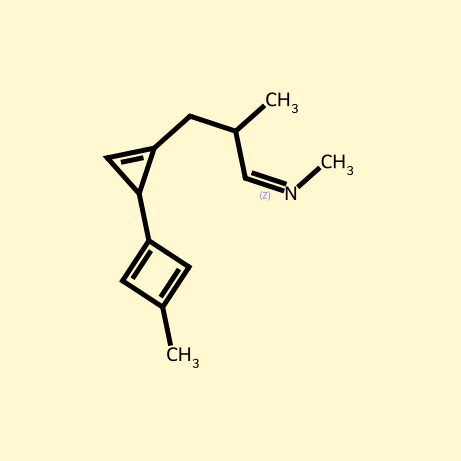 C/N=C\C(C)CC1=CC1C1=CC(C)=C1